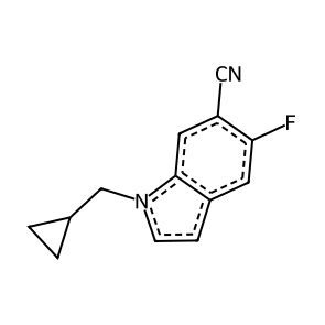 N#Cc1cc2c(ccn2CC2CC2)cc1F